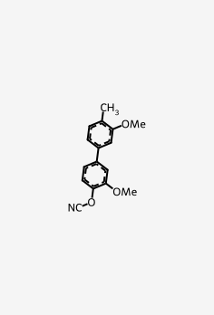 COc1cc(-c2ccc(OC#N)c(OC)c2)ccc1C